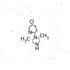 C[C@@H]1CNC[C@H](C)N1c1ccc(Cl)cn1